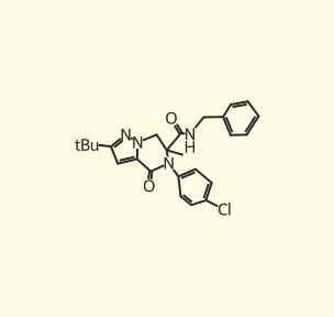 CC(C)(C)c1cc2n(n1)CC(C)(C(=O)NCc1ccccc1)N(c1ccc(Cl)cc1)C2=O